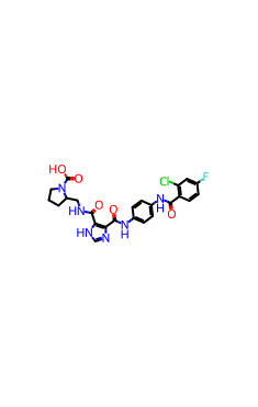 O=C(Nc1ccc(NC(=O)c2nc[nH]c2C(=O)NCC2CCCN2C(=O)O)cc1)c1ccc(F)cc1Cl